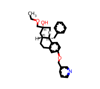 CCOC[C@@]1(O)CC[C@@]2(Cc3ccccc3)c3ccc(OCc4cccnc4)cc3CC[C@@H]2C1